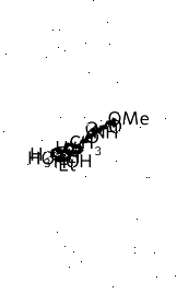 CC[C@H]1[C@@H](O)[C@@H]2[C@H](CC[C@]3(C)[C@@H](CCCOC(=O)NCCCC(=O)OC)CC[C@@H]23)[C@@]2(C)CC[C@@H](O)C[C@@H]12